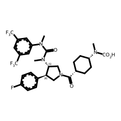 CN(C(=O)N(C)[C@@H]1CN(C(=O)[C@H]2CC[C@@H](N(C)C(=O)O)CC2)C[C@H]1c1ccc(F)cc1)c1cc(C(F)(F)F)cc(C(F)(F)F)c1